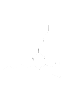 CCCCOc1cc(OCCCC)cc(C(O)CBr)c1